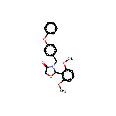 COc1cccc(OC)c1C1OCC(=O)N1Cc1ccc(Oc2ccccc2)cc1